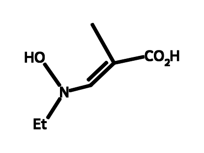 CCN(O)C=C(C)C(=O)O